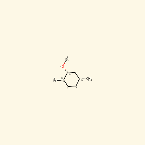 CCO[C@@H]1C[C@H](C)CC[C@H]1C(C)C